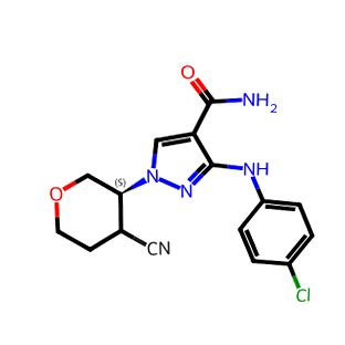 N#CC1CCOC[C@H]1n1cc(C(N)=O)c(Nc2ccc(Cl)cc2)n1